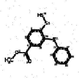 COC(=O)c1ccc(SS)c(Sc2ccccc2)c1